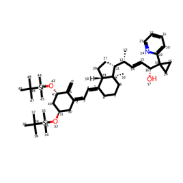 C=C1/C(=C\C=C2/CCC[C@]3(C)[C@@H]([C@H](C)/C=C/[C@@H](O)C4(c5ccccn5)CC4)CC[C@@H]23)C[C@@H](O[Si](C)(C)C(C)(C)C)C[C@@H]1O[Si](C)(C)C(C)(C)C